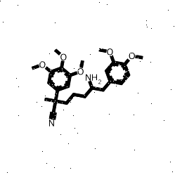 COc1ccc(CC(N)CCCC(C)(C#N)c2cc(OC)c(OC)c(OC)c2)cc1OC